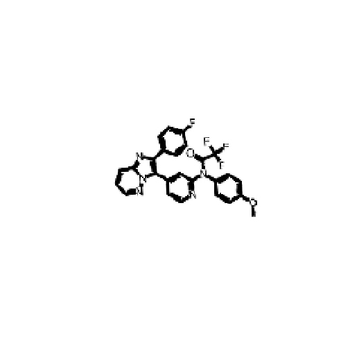 COc1ccc(N(C(=O)C(F)(F)F)c2cc(-c3c(-c4ccc(F)cc4)nc4cccnn34)ccn2)cc1